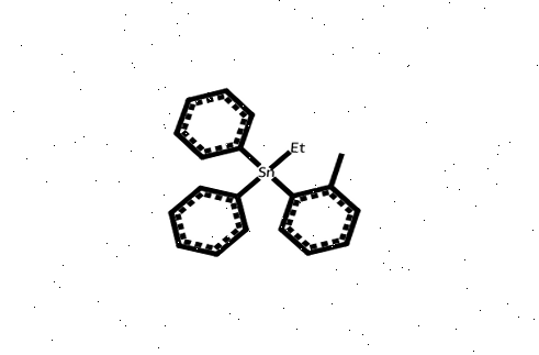 C[CH2][Sn]([c]1ccccc1)([c]1ccccc1)[c]1ccccc1C